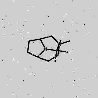 CN1CCC2CCC(C1)N2C(C)(C)C